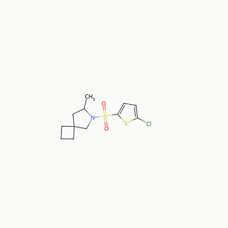 CC1CC2(CCC2)CN1S(=O)(=O)c1ccc(Cl)s1